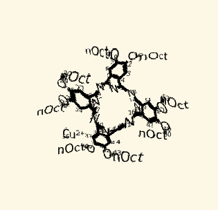 CCCCCCCCOc1cc2c(cc1OCCCCCCCC)-c1nc-2nc2[n-]c(nc3nc(nc4[n-]c(n1)c1cc(OCCCCCCCC)c(OCCCCCCCC)cc41)-c1cc(OCCCCCCCC)c(OCCCCCCCC)cc1-3)c1cc(OCCCCCCCC)c(OCCCCCCCC)cc21.[Cu+2]